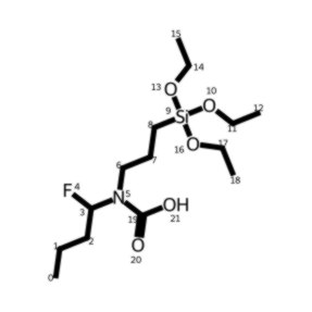 CCCC(F)N(CCC[Si](OCC)(OCC)OCC)C(=O)O